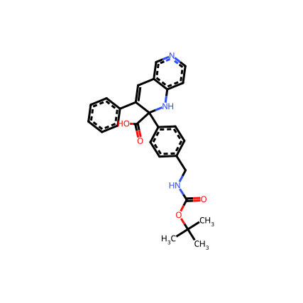 CC(C)(C)OC(=O)NCc1ccc(C2(C(=O)O)Nc3ccncc3C=C2c2ccccc2)cc1